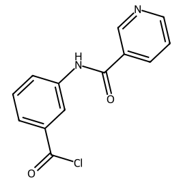 O=C(Cl)c1cccc(NC(=O)c2cccnc2)c1